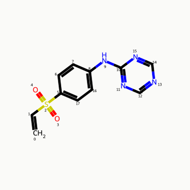 C=CS(=O)(=O)c1ccc(Nc2n[c]ncn2)cc1